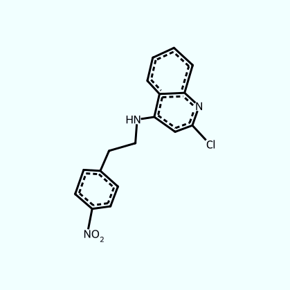 O=[N+]([O-])c1ccc(CCNc2cc(Cl)nc3ccccc23)cc1